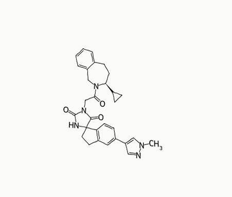 Cn1cc(-c2ccc3c(c2)CCC32NC(=O)N(CC(=O)N3Cc4ccccc4CC[C@H]3C3CC3)C2=O)cn1